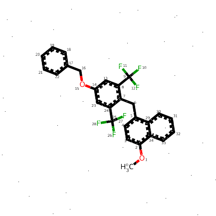 COc1ccc(Cc2c(C(F)(F)F)cc(OCc3ccccc3)cc2C(F)(F)F)c2ccccc12